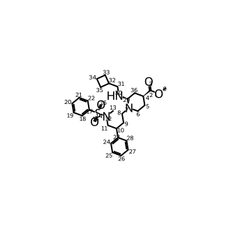 COC(=O)[C@H]1CCN(CCC(CN(C)S(=O)(=O)c2ccccc2)c2ccccc2)[C@@H](NCC2CCC2)C1